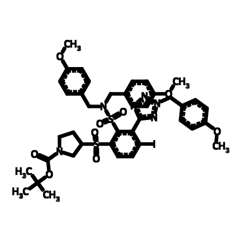 COc1ccc(CN(Cc2ccc(OC)cc2)S(=O)(=O)c2c(S(=O)(=O)C3CCN(C(=O)OC(C)(C)C)C3)ccc(I)c2-c2nnn(Cc3ccc(OC)cc3)n2)cc1